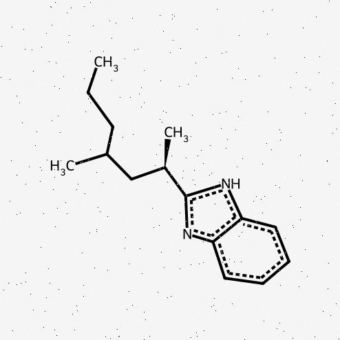 CCCC(C)C[C@@H](C)c1nc2ccccc2[nH]1